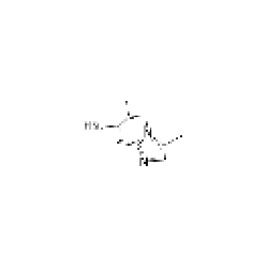 Cc1cn2c(C)cnc2cc1C(C)(C)C